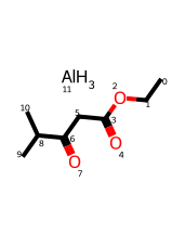 CCOC(=O)CC(=O)C(C)C.[AlH3]